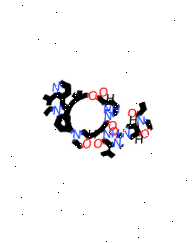 C=CC(=O)N1CCO[C@H]2CN(C(=O)N(C)[C@H](C(=O)N[C@H]3C[C@H]4CN(CCO4)c4ccc5c(c4)c(c(-c4cccnc4C(C)C)n5CC)CC(C)(C)COC(=O)[C@@H]4CCCN(N4)C3=O)C(C)C)C[C@H]21